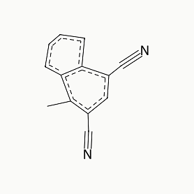 Cc1c(C#N)cc(C#N)c2ccccc12